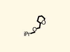 CC(C)COCC1CCCCO1